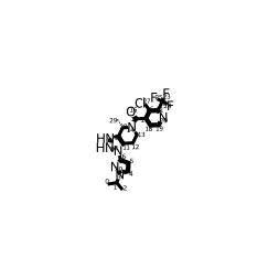 CC(C)n1ccc(N2NNC3=C2CCN(C(=O)c2ccnc(C(F)(F)F)c2Cl)[C@H]3C)n1